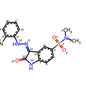 CN(C)S(=O)(=O)c1ccc2c(c1)C(=NNc1ccccc1[N+](=O)[O-])C(=O)N2